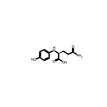 NC(=O)CC[C@H](Nc1ccc(O)cc1)C(=O)O